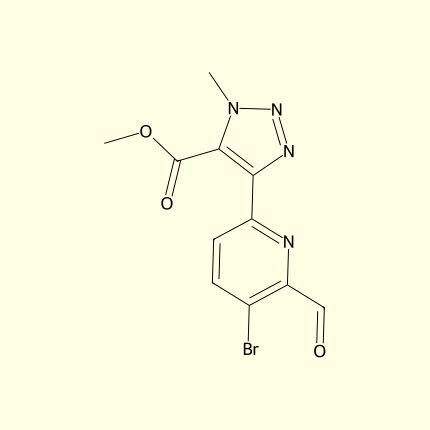 COC(=O)c1c(-c2ccc(Br)c(C=O)n2)nnn1C